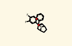 Fc1ccc(C2=CC3CCC(C2)N3Cc2ccccc2)cc1F